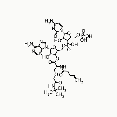 C=CCCC(=O)N[C@@H](COCC(=O)NC(C)(C)C)C(=O)O[C@@H]1C(COP(=O)(O)[C@H]2[C@@H](O)[C@H](n3ccc(N)nc3=O)O[C@@H]2COP(=O)(O)O)O[C@@H](n2cnc3c(N)ncnc32)[C@@H]1O